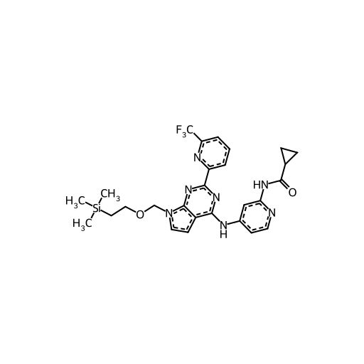 C[Si](C)(C)CCOCn1ccc2c(Nc3ccnc(NC(=O)C4CC4)c3)nc(-c3cccc(C(F)(F)F)n3)nc21